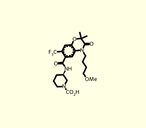 COCCCCN1C(=O)C(C)(C)Oc2cc(C(F)(F)F)c(C(=O)N[C@@H]3CCCN(C(=O)O)C3)cc21